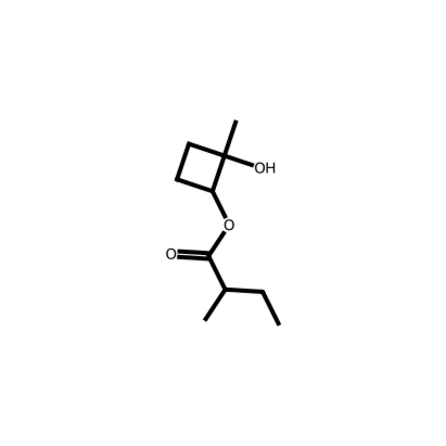 CCC(C)C(=O)OC1CCC1(C)O